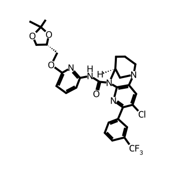 CC1(C)OC[C@@H](COc2cccc(NC(=O)N3c4nc(-c5cccc(C(F)(F)F)c5)c(Cl)cc4N4CCC[C@H]3C4)n2)O1